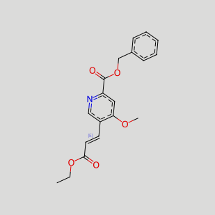 CCOC(=O)/C=C/c1cnc(C(=O)OCc2ccccc2)cc1OC